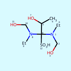 CCN(CO)C(C(C)O)(N(CC)CO)S(=O)(=O)O